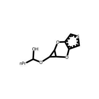 CCCC(O)OC1C2Oc3cscc3OC21